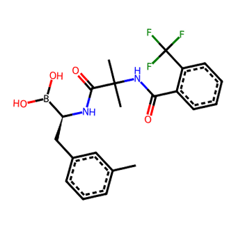 Cc1cccc(C[C@H](NC(=O)C(C)(C)NC(=O)c2ccccc2C(F)(F)F)B(O)O)c1